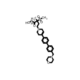 CC(CCN1CC=C(c2ccc(-c3ccc(CN4CCOCC4)cc3)cc2)CC1)(C(=O)NO)S(C)(=O)=O